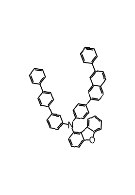 c1ccc(-c2ccc(-c3cccc(N(c4ccc(-c5ccc6ccc(-c7ccccc7)cc6c5)cc4)c4cccc5oc6ccccc6c45)c3)cc2)cc1